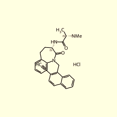 C#Cc1ccc2ccccc2c1CN1C(=O)[C@@H](NC(=O)[C@H](C)NC)CCc2ccccc21.Cl